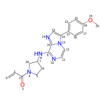 C=CC(=O)N1CCC(Nc2nccn3c(-c4ccc(OC)cc4)cnc23)C1